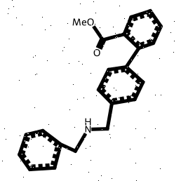 COC(=O)c1ccccc1-c1ccc(CNCc2ccccc2)cc1